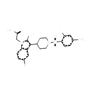 Cc1ccc(S(=O)(=O)N2CCC(c3c(C)n(CC(=O)O)c4ccc(F)cc34)CC2)c(F)c1